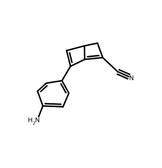 N#CC1=C2C(c3ccc(N)cc3)=CC2C1